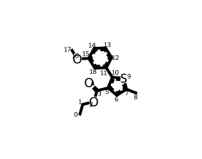 CCOC(=O)c1cc(C)sc1-c1cccc(OC)c1